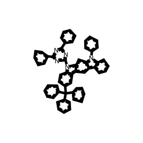 c1ccc(-c2nc(-c3ccccc3)nc(-n3c4ccc(C(c5ccccc5)(c5ccccc5)c5ccccc5)cc4c4cc5c6ccccc6n(-c6ccccc6)c5cc43)n2)cc1